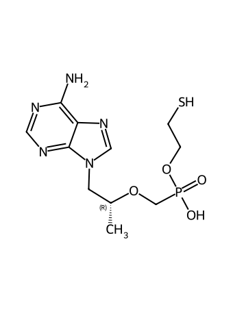 C[C@H](Cn1cnc2c(N)ncnc21)OCP(=O)(O)OCCS